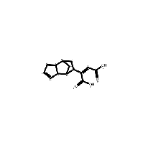 O=C(O)/C=C(\C(=O)O)C1CC2CC1C1C=CCC21